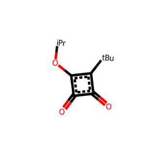 CC(C)Oc1c(C(C)(C)C)c(=O)c1=O